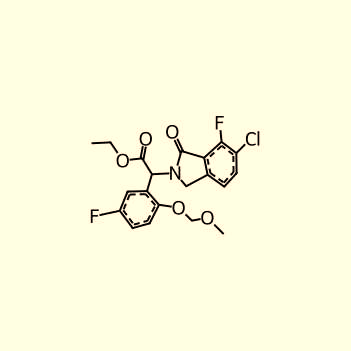 CCOC(=O)C(c1cc(F)ccc1OCOC)N1Cc2ccc(Cl)c(F)c2C1=O